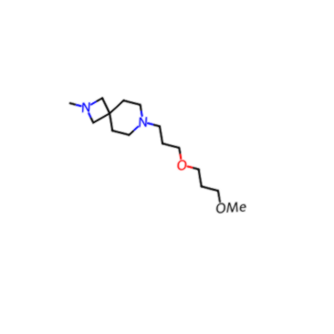 COCCCOCCCN1CCC2(CC1)CN(C)C2